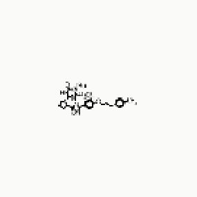 CC(C)(C)OC(=O)NC(=NC(=O)O)N1CCCC1c1nc(-c2ccc(OCCCc3ccc(C(F)(F)F)cc3)c(C(F)(F)F)c2)no1